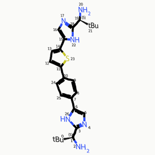 CC(C)(C)[C@H](N)c1ncc(-c2ccc(-c3ccc(-c4cnc([C@@H](N)C(C)(C)C)[nH]4)s3)cc2)[nH]1